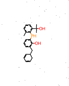 Cc1cccc(C(C)(C)O)c1Pc1cccc(CC2C=CC=CC2)c1O